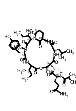 CC[C@H](C)C1NC(=O)[C@H](Cc2ccc(O)cc2)N(C)C(=O)[C@H]([C@@H](C)CC)N2C(=O)[C@H](CC[C@H]2O)NC(=O)[C@H](CC(C)C)NC(=O)[C@@H](NC(=O)[C@H](CCC(N)=O)NC(=O)C(C)C)[C@@H](C)OC1=O